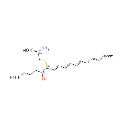 CCCCCC=CCC=CC=CC=C[C@H](SC[C@H](N)C(=O)O)[C@@H](O)CCCC(=O)O